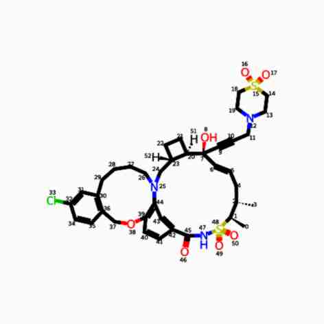 C[C@@H]1[C@@H](C)C/C=C/[C@@](O)(C#CCN2CCS(=O)(=O)CC2)[C@@H]2CC[C@H]2CN2CCCCc3cc(Cl)ccc3COc3ccc(cc32)C(=O)NS1(=O)=O